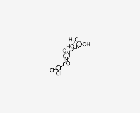 CC1CC(O)CN(CC(O)CCN2CCN(C(=O)C=Cc3ccc(Cl)c(Cl)c3)CCC2=O)C1